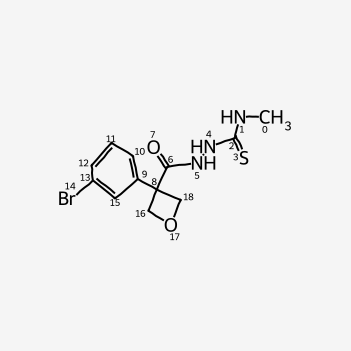 CNC(=S)NNC(=O)C1(c2cccc(Br)c2)COC1